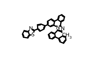 Cc1nc2c3ccccc3c3ccc(-c4ccc(-c5nc6ccccc6s5)cc4)cc3n2c1-c1ccccc1-c1ccccc1